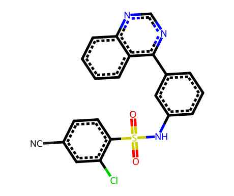 N#Cc1ccc(S(=O)(=O)Nc2cccc(-c3ncnc4ccccc34)c2)c(Cl)c1